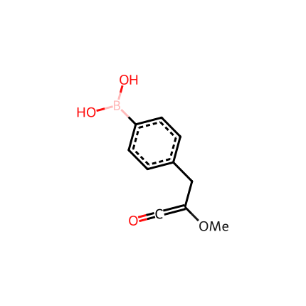 COC(=C=O)Cc1ccc(B(O)O)cc1